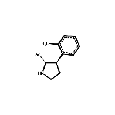 CC(=O)[C@H]1NCC[C@@H]1c1ccccc1C